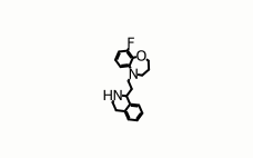 Fc1cccc2c1OCCCN2CCC1NCCc2ccccc21